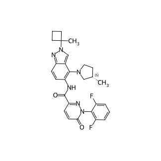 C[C@H]1CCN(c2c(NC(=O)c3ccc(=O)n(-c4c(F)cccc4F)n3)ccc3nn(C4(C)CCC4)cc23)C1